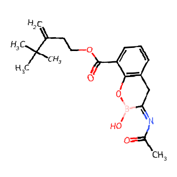 C=C(CCOC(=O)c1cccc2c1OB(O)/C(=N\C(C)=O)C2)C(C)(C)C